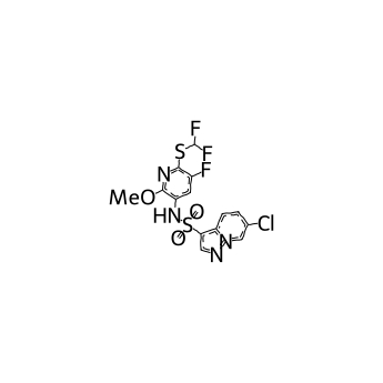 COc1nc(SC(F)F)c(F)cc1NS(=O)(=O)c1cnn2cc(Cl)ccc12